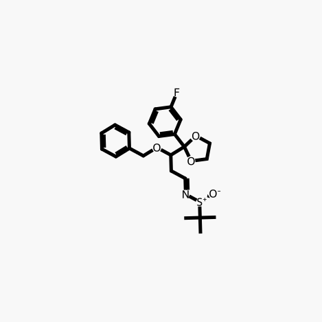 CC(C)(C)[S@+]([O-])N=CCC(OCc1ccccc1)C1(c2cccc(F)c2)OCCO1